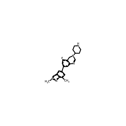 Cc1cc(-c2cc(F)c3c(c2)N=CN(C2CCNCC2)C3)cc2cn(C)nc12